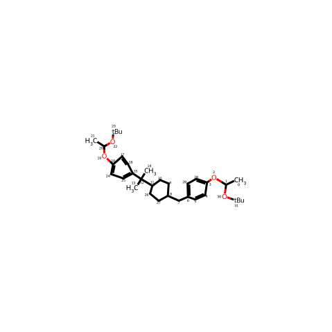 CC(Oc1ccc(CC2CCC(C(C)(C)c3ccc(OC(C)OC(C)(C)C)cc3)CC2)cc1)OC(C)(C)C